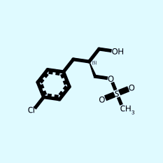 CS(=O)(=O)OC[C@H](CO)Cc1ccc(Cl)cc1